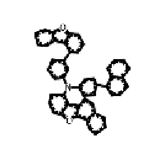 c1cc(-c2cccc3oc4ccccc4c23)cc(N(c2ccc(-c3cccc4ccccc34)cc2)c2cccc3oc4c5ccccc5ccc4c23)c1